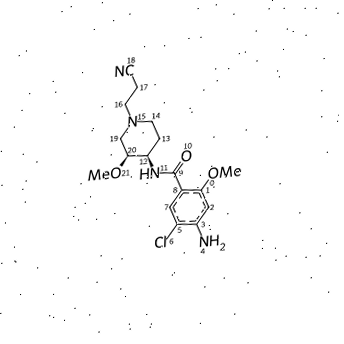 COc1cc(N)c(Cl)cc1C(=O)N[C@@H]1CCN(CCC#N)C[C@@H]1OC